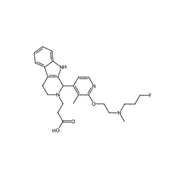 Cc1c(C2c3[nH]c4ccccc4c3CCN2CCC(=O)O)ccnc1OCCN(C)CCCF